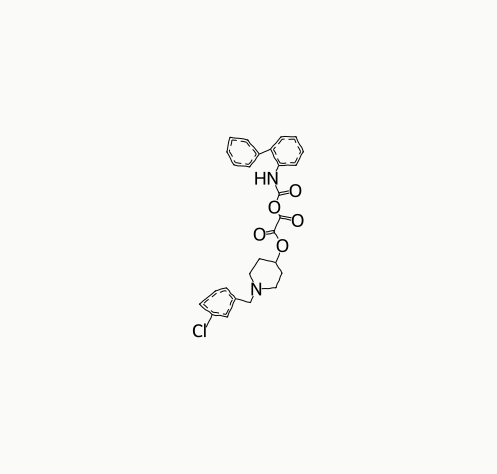 O=C(Nc1ccccc1-c1ccccc1)OC(=O)C(=O)OC1CCN(Cc2cccc(Cl)c2)CC1